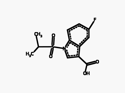 CC(C)S(=O)(=O)n1cc(C(=O)O)c2cc(F)ccc21